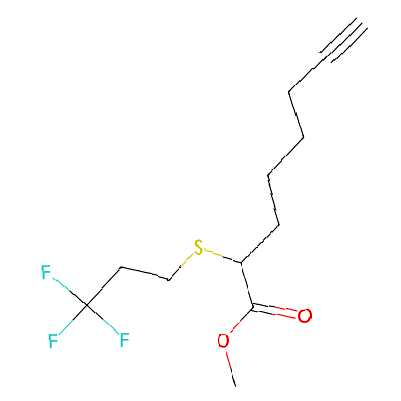 C#CCCCCC(SCCC(F)(F)F)C(=O)OC